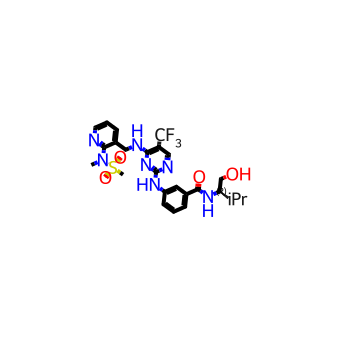 CC(C)[C@H](CO)NC(=O)c1cccc(Nc2ncc(C(F)(F)F)c(NCc3cccnc3N(C)S(C)(=O)=O)n2)c1